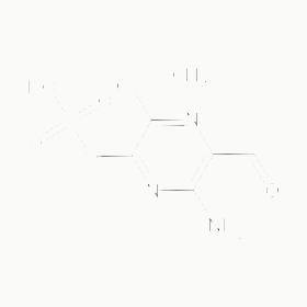 C.Nc1nc(OS(=O)(=O)O)c(Cl)nc1C=O